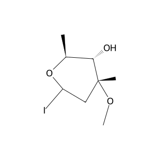 CO[C@]1(C)CC(I)O[C@@H](C)[C@@H]1O